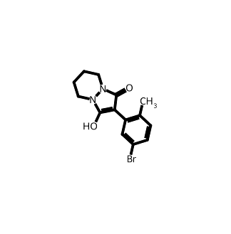 Cc1ccc(Br)cc1-c1c(O)n2n(c1=O)CCCC2